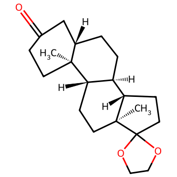 C[C@]12CCC(=O)C[C@@H]1CC[C@@H]1[C@@H]2CC[C@@]2(C)[C@H]1CCC21OCCO1